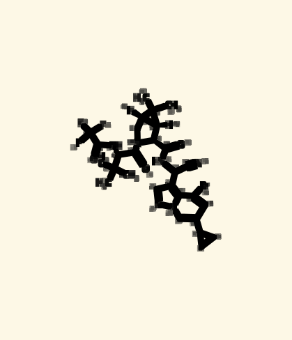 CC(C)(C)[C@H](NC(=O)C(F)(F)F)C(=O)N1C[C@H]2[C@@H]([C@H]1C(=O)NC(C#N)c1cnn3cc(C4CC4)cc(Br)c13)C2(C)C